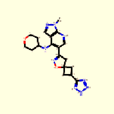 CCn1ncc2c(NC3CCOCC3)c(C3=NOC4(C3)CC(c3nn[nH]n3)C4)cnc21